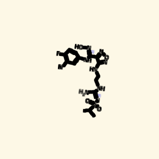 CC(C)S(=O)(=O)/N=C(\N)NCCNc1nonc1/C(=N/O)Nc1ccc(F)c(Br)c1